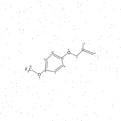 C=C(C)COc1ccc(OC(F)(F)F)cc1